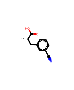 C[C@@H](Cc1cccc(C#N)c1)C(=O)O